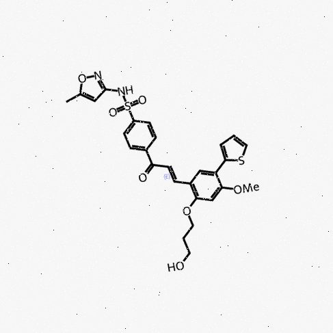 COc1cc(OCCCO)c(/C=C/C(=O)c2ccc(S(=O)(=O)Nc3cc(C)on3)cc2)cc1-c1cccs1